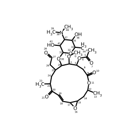 COC1C(OC(C)=O)CC(=O)OC(C)CC2OC2/C=C/C(=O)C(C)CC(CC=O)C1OC1OC(C)C(O)C(N(C)C)C1O